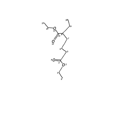 CCOC(=O)CCCC(CC)C(=O)OCC